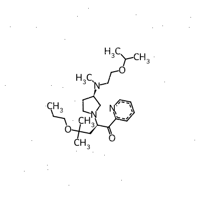 CCCOC(C)(C)C[C@H](C(=O)c1ccccn1)N1CC[C@@H](N(C)CCOC(C)C)C1